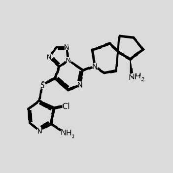 Nc1nccc(Sc2cnc(N3CCC4(CCC[C@H]4N)CC3)n3ncnc23)c1Cl